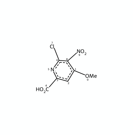 COc1cc(C(=O)O)nc(Cl)c1[N+](=O)[O-]